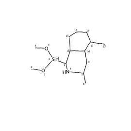 CO[SiH](OC)C1NC(C)CC2C(C)CCCC21